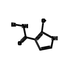 CCNC(=O)c1cc[nH]c1[O]